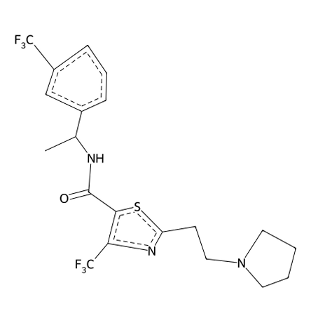 CC(NC(=O)c1sc(CCN2CCCC2)nc1C(F)(F)F)c1cccc(C(F)(F)F)c1